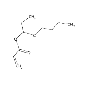 C=CC(=O)OC(CC)OCCCC